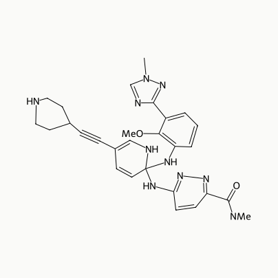 CNC(=O)c1ccc(NC2(Nc3cccc(-c4ncn(C)n4)c3OC)C=CC(C#CC3CCNCC3)=CN2)nn1